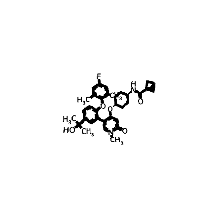 Cc1cc(F)cc(C)c1Oc1ccc(C(C)(C)O)cc1-c1cn(C)c(=O)cc1O[C@H]1CC[C@H](NC(=O)C23CC(C2)C3)CC1